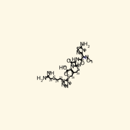 CO/N=C(\C(=O)N[C@@H]1C(=O)N2C(C(=O)O)=C(CSc3nnnn3CCSCC(=N)N)CS[C@@H]12)c1nsc(N)n1